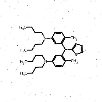 CCCCN(CCCC)c1ccc(C)c(C(c2cccs2)c2cc(N(CCCC)CCCC)ccc2C)c1